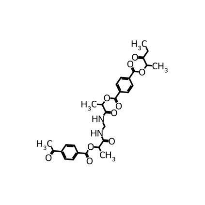 CCC(=O)C(C)OC(=O)c1ccc(C(=O)OC(C)C(=O)NCNC(=O)C(C)OC(=O)c2ccc(C(C)=O)cc2)cc1